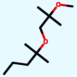 CCCC(C)(C)OCC(C)(C)OC